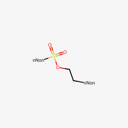 CCCCCCCCCCCOS(=O)(=O)CCCCCCCCC